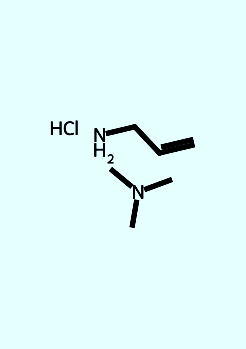 C=CCN.CN(C)C.Cl